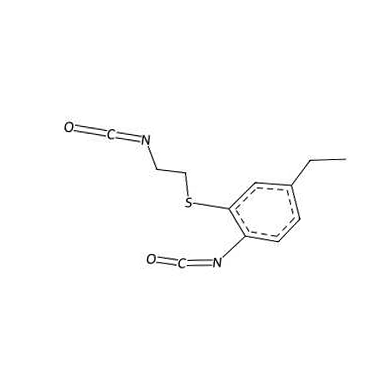 CCc1ccc(N=C=O)c(SCCN=C=O)c1